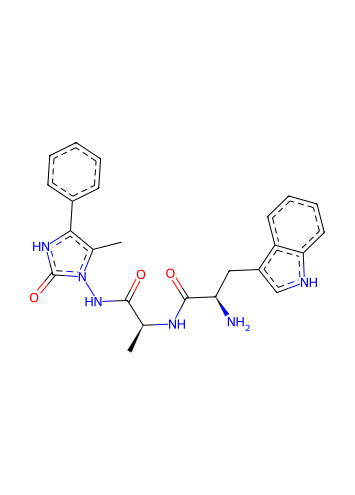 Cc1c(-c2ccccc2)[nH]c(=O)n1NC(=O)[C@H](C)NC(=O)[C@H](N)Cc1c[nH]c2ccccc12